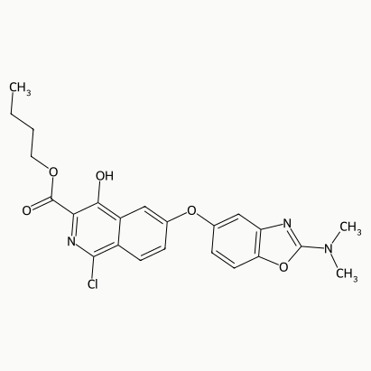 CCCCOC(=O)c1nc(Cl)c2ccc(Oc3ccc4oc(N(C)C)nc4c3)cc2c1O